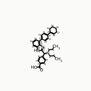 CCCN(CCC)C(c1ccc(C(=O)O)cc1)c1nc2c(-c3ccc(C4=CCCCC4)cc3)cccc2[nH]1